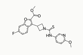 COC(=O)c1oc2cc(F)ccc2c1C1CN(C(=S)Nc2ccc(OC)nc2)C1